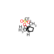 CC1(C)[C@@H]2C=C(OS(=O)(=O)C(F)(F)F)[C@@]1(C)CC2